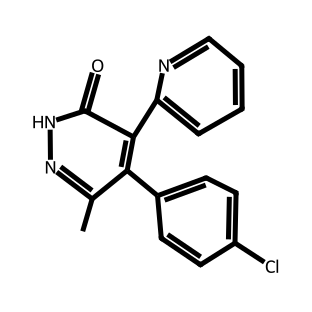 Cc1n[nH]c(=O)c(-c2ccccn2)c1-c1ccc(Cl)cc1